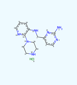 Cl.Nc1nccc(CNc2cccnc2N2CCNCC2)n1